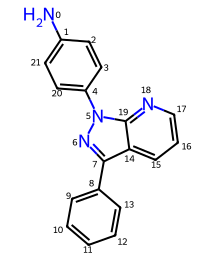 Nc1ccc(-n2nc(-c3ccccc3)c3cccnc32)cc1